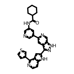 O=C(Nc1cncc(-c2cc3c(-c4cc5c(-c6ccsc6)nccc5[nH]4)n[nH]c3cn2)c1)C1CCCCC1